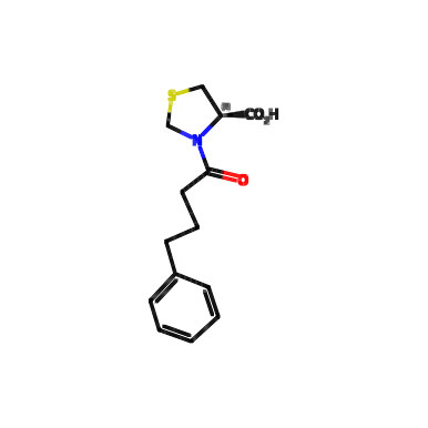 O=C(O)[C@@H]1CSCN1C(=O)CCCc1ccccc1